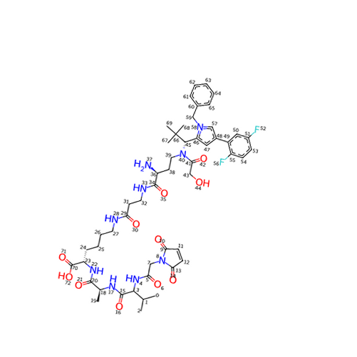 CC(C)C(NC(=O)CN1C(=O)C=CC1=O)C(=O)N[C@@H](C)C(=O)N[C@@H](CCCCNC(=O)CCNC(=O)[C@@H](N)CCN(C(=O)CO)[C@@H](c1cc(-c2cc(F)ccc2F)cn1Cc1ccccc1)C(C)(C)C)C(=O)O